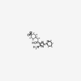 Nc1nc(-c2ccccn2)nn1C(O)CC1CCS(=O)(=O)CC1